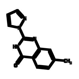 Cc1ccc2c(=O)[nH]c(-n3cccn3)nc2c1